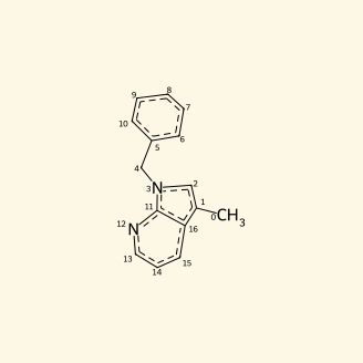 Cc1cn(Cc2ccccc2)c2ncccc12